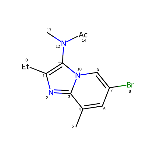 CCc1nc2c(C)cc(Br)cn2c1N(C)C(C)=O